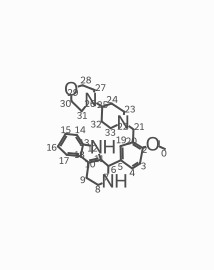 COc1ccc(C2NCCc3c2[nH]c2ccccc32)cc1CN1CCC(N2CCOCC2)CC1